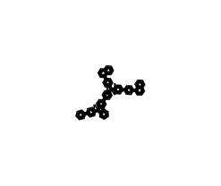 c1ccc(-c2ccc(-n3c4ccccc4c4cc(-c5ccc(N(c6ccc(-c7ccc(-c8cccc9ccccc89)cc7)cc6)c6ccc(-c7cccc8ccccc78)cc6)cc5)ccc43)cc2)cc1